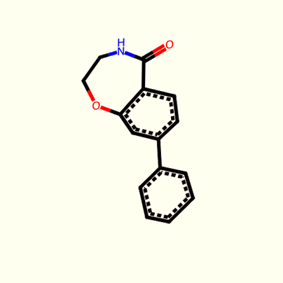 O=C1NCCOc2cc(-c3ccccc3)ccc21